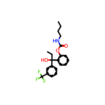 CCCCNC(=O)Oc1ccccc1C(O)(CC)c1cccc(C(F)(F)F)c1